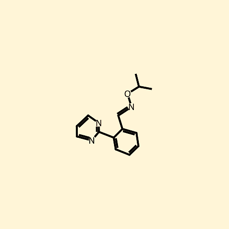 CC(C)O/N=C/c1ccccc1-c1ncccn1